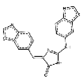 O=C1NC(Nc2ccc3ncsc3c2)=N/C1=C\c1ccc2ncsc2c1